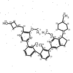 COc1nc(-c2cccc(-c3cccc(-c4cc5c(c(OC)n4)C(N4CCC(C)CC4)CC5)c3Cl)c2Cl)cnc1CN1CC(O)C1